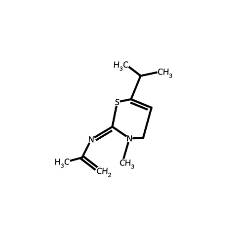 C=C(C)/N=C1/SC(C(C)C)=CCN1C